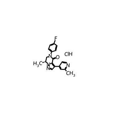 Cc1cc(-c2cnn3c2C(=O)N(c2ccc(F)cc2)C[C@@H]3C)ccn1.Cl